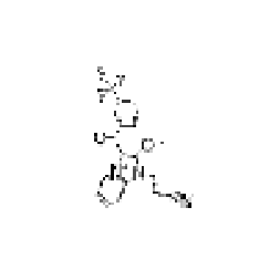 N#CCCn1c([O-])c(C(=O)c2cccc(C(F)(F)F)c2)[n+]2ccccc12